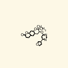 CC1(C)Oc2cc3oc(=O)ccc3cc2CC1Oc1cc(-c2ccoc2)ncn1